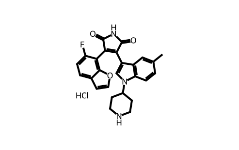 Cc1ccc2c(c1)c(C1=C(c3c(F)ccc4ccoc34)C(=O)NC1=O)cn2C1CCNCC1.Cl